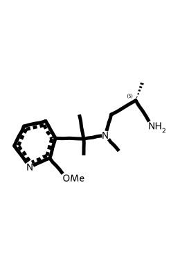 COc1ncccc1C(C)(C)N(C)C[C@H](C)N